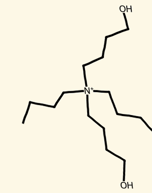 CCCC[N+](CCCC)(CCCCO)CCCCO